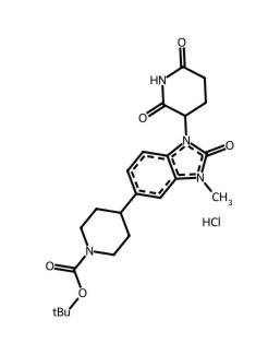 Cl.Cn1c(=O)n(C2CCC(=O)NC2=O)c2ccc(C3CCN(C(=O)OC(C)(C)C)CC3)cc21